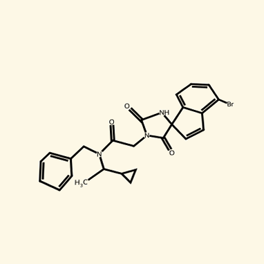 CC(C1CC1)N(Cc1ccccc1)C(=O)CN1C(=O)NC2(C=Cc3c(Br)cccc32)C1=O